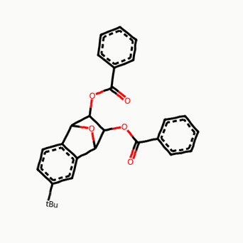 CC(C)(C)c1ccc2c(c1)C1OC2C(OC(=O)c2ccccc2)C1OC(=O)c1ccccc1